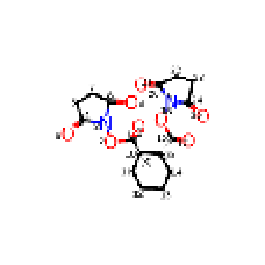 O=C(ON1C(=O)CCC1=O)[C@@H]1CCCC[C@H]1C(=O)ON1C(=O)CCC1=O